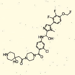 Cn1c(-c2ccc(OCF)c(F)c2F)cnc1C(O)Nc1ccc(C(=O)N2CCN(C(=O)CC3(O)CCNCC3)CC2)c(Cl)c1